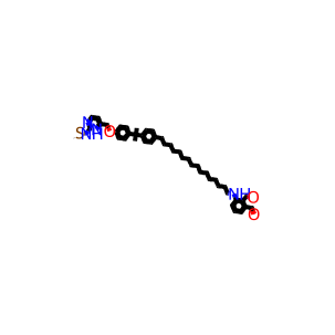 CSNc1nccc(COc2ccc(C(C)(C)c3ccc(CCCCCCCCCCCCCCCCNc4cccc(C=O)c4C=O)cc3)cc2)n1